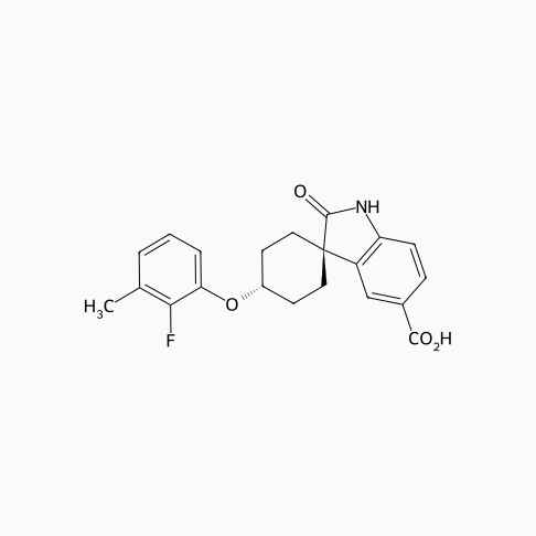 Cc1cccc(O[C@H]2CC[C@@]3(CC2)C(=O)Nc2ccc(C(=O)O)cc23)c1F